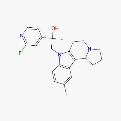 Cc1ccc2c(c1)c1c(n2CC(C)(O)c2ccnc(F)c2)CCN2CCCC12